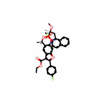 CCOC(=O)c1c(-c2ccc(F)cc2)oc2cc(NS(C)(=O)=O)c([C@@H](C)OC(=O)[C@](C)(Cc3cccc4ccccc34)OC)cc12